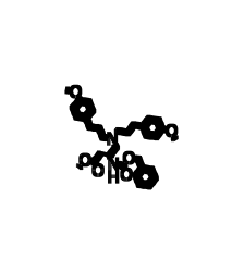 COC(=O)C[C@@H](CN(CCCc1ccc(OC)cc1)CCCc1ccc(OC)cc1)NC(=O)OCc1ccccc1